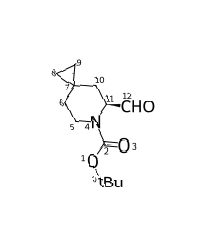 CC(C)(C)OC(=O)N1CCC2(CC2)C[C@H]1C=O